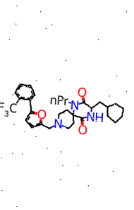 CCCN1C(=O)C(CC2CCCCC2)NC(=O)C12CCN(Cc1ccc(-c3ccccc3C(F)(F)F)o1)CC2